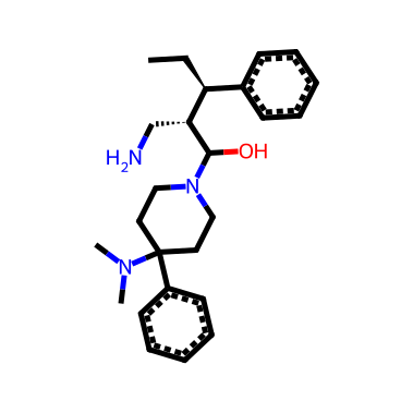 CC[C@@H](c1ccccc1)[C@@H](CN)C(O)N1CCC(c2ccccc2)(N(C)C)CC1